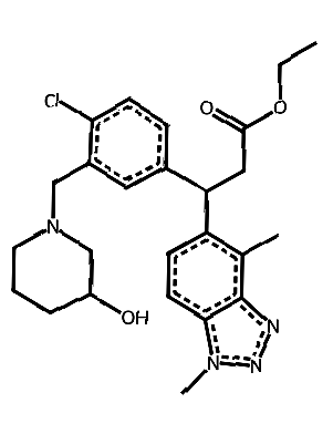 CCOC(=O)CC(c1ccc(Cl)c(CN2CCCC(O)C2)c1)c1ccc2c(nnn2C)c1C